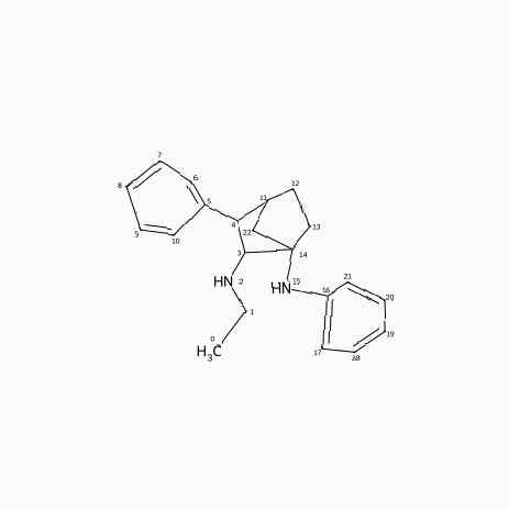 CCNC1C(c2ccccc2)C2CCC1(Nc1ccccc1)C2